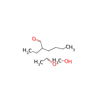 CC=O.CCCCC(C=O)CC.CO